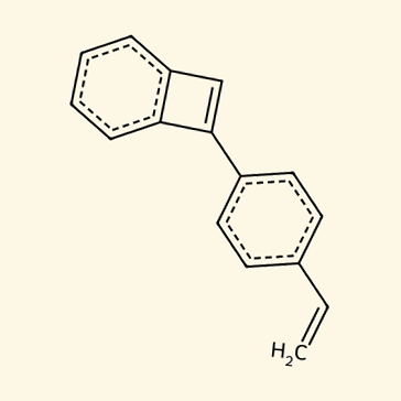 C=Cc1ccc(C2=Cc3ccccc32)cc1